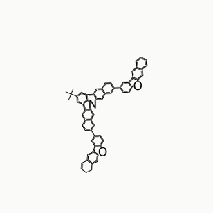 CC(C)(C)c1cc2c3cc4ccc(-c5ccc6oc7cc8c(cc7c6c5)C=CCC8)cc4cc3n3c4cc5cc(-c6ccc7oc8cc9ccccc9cc8c7c6)ccc5cc4c(c1)c23